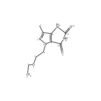 Cc1nn(CCOCC(F)(F)F)c2c(=O)[nH]c(=O)[nH]c12